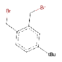 CC(C)(C)c1ccc(CBr)c(CBr)c1